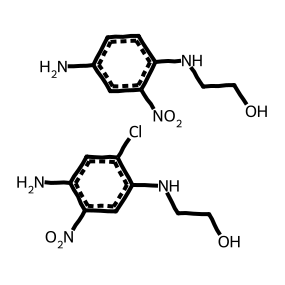 Nc1cc(Cl)c(NCCO)cc1[N+](=O)[O-].Nc1ccc(NCCO)c([N+](=O)[O-])c1